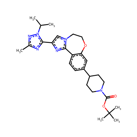 Cc1nc(-c2cn3c(n2)-c2ccc(C4CCN(C(=O)OC(C)(C)C)CC4)cc2OCC3)n(C(C)C)n1